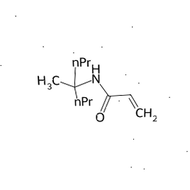 C=CC(=O)NC(C)(CCC)CCC